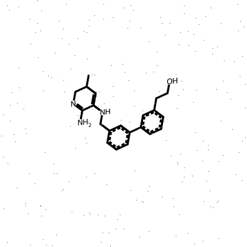 CC1C=C(NCc2cccc(-c3cccc(CCO)c3)c2)C(N)=NC1